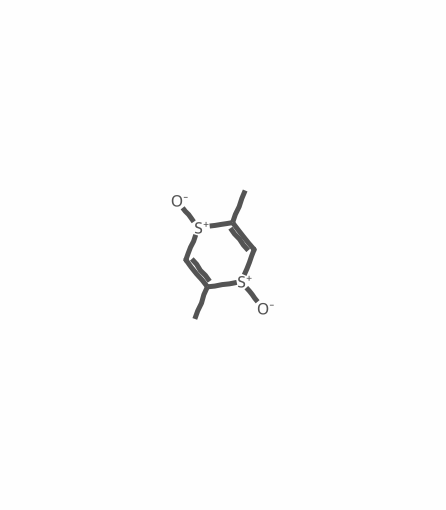 CC1=C[S+]([O-])C(C)=C[S+]1[O-]